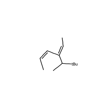 C/C=C\C(=C/C)C(C)C(C)(C)C